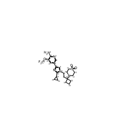 Nc1ncc(-c2cn(CCC3(N4CCS(=O)(=O)CC4)CCC3)c(C3CC3)n2)cc1OC(F)(F)F